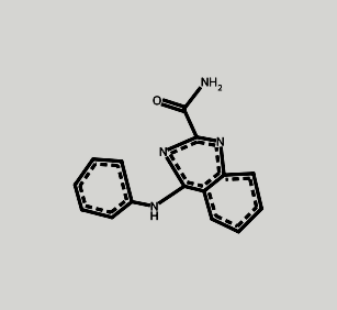 NC(=O)c1nc(Nc2ccccc2)c2ccccc2n1